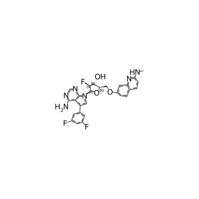 CNc1ccc2ccc(OC[C@H]3O[C@@H](n4cc(-c5cc(F)cc(F)c5)c5c(N)ncnc54)[C@@H](F)[C@@H]3O)cc2n1